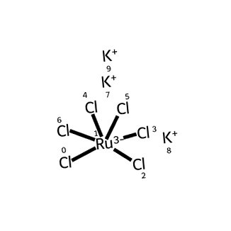 [Cl][Ru-3]([Cl])([Cl])([Cl])([Cl])[Cl].[K+].[K+].[K+]